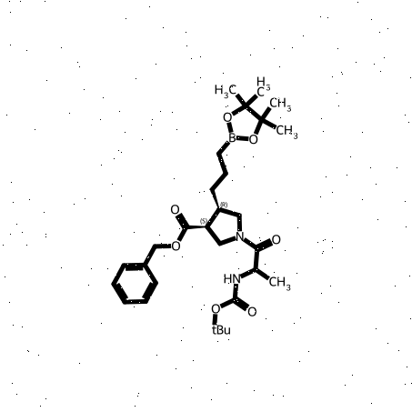 CC(NC(=O)OC(C)(C)C)C(=O)N1C[C@H](CCCB2OC(C)(C)C(C)(C)O2)[C@H](C(=O)OCc2ccccc2)C1